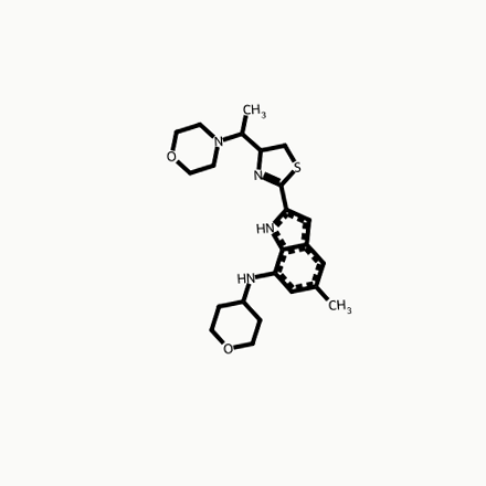 Cc1cc(NC2CCOCC2)c2[nH]c(C3=NC(C(C)N4CCOCC4)CS3)cc2c1